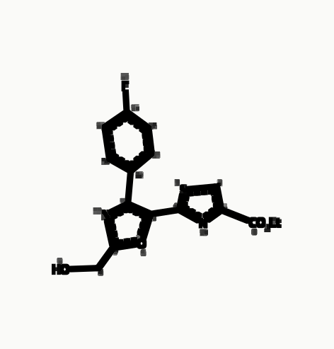 CCOC(=O)c1csc(-c2oc(CO)nc2-c2ccc(F)cc2)n1